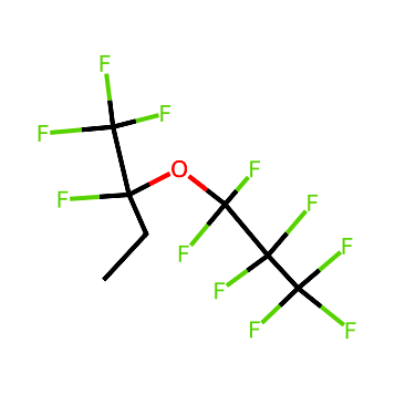 CCC(F)(OC(F)(F)C(F)(F)C(F)(F)F)C(F)(F)F